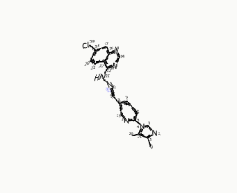 Cc1ncn(-c2ccc(/C=N/Nc3ncnc4cc(Cl)ccc34)cn2)c1C